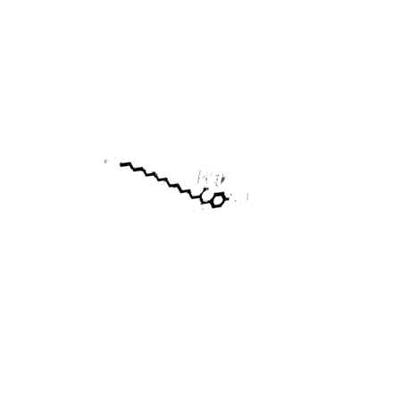 CC(C)CCCCCCCCCCCCCC(C(=O)[O][Ti](=[O])[OH])C(=O)c1ccc(N)cc1